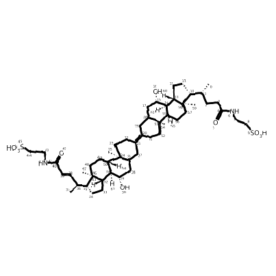 C[C@H](CCC(=O)NCCS(=O)(=O)O)[C@H]1CC[C@H]2[C@@H]3[C@@H](O)CC4C/C(=C5\CC[C@@]6(C)C(C5)C[C@H](O)[C@H]5[C@@H]7CC[C@H]([C@@H](C)CCC(=O)NCCS(=O)(=O)O)[C@@]7(C)CC[C@@H]56)CC[C@]4(C)[C@H]3CC[C@]12C